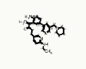 C=C(C(=O)CCc1ccc(NCC)nc1)c1cc(-c2cncc(CN3CCCCC3)c2)ccc1N